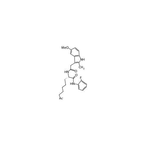 COc1ccc2[nH]c(C)c(CC(=O)N[C@@H](CCCCCC(C)=O)C(=O)Nc3ccccc3F)c2c1